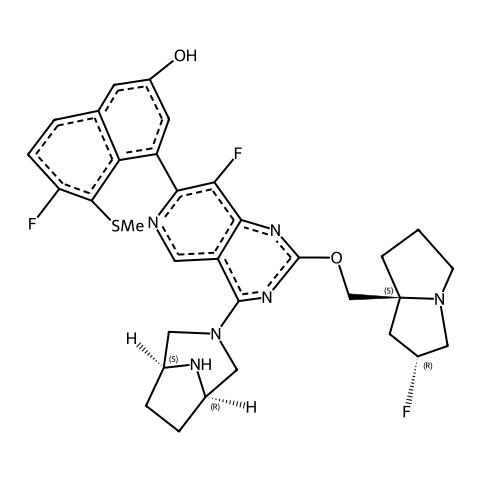 CSc1c(F)ccc2cc(O)cc(-c3ncc4c(N5C[C@H]6CC[C@@H](C5)N6)nc(OC[C@@]56CCCN5C[C@H](F)C6)nc4c3F)c12